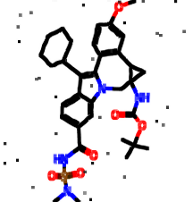 COc1ccc2c(c1)C1CC1(NC(=O)OC(C)(C)C)Cn1c-2c(C2CCCCC2)c2ccc(C(=O)NS(=O)(=O)N(C)C)cc21